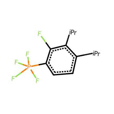 CC(C)c1ccc(P(F)(F)(F)F)c(F)c1C(C)C